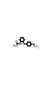 COc1ccc(Cc2ccccc2NC(=O)O)cc1